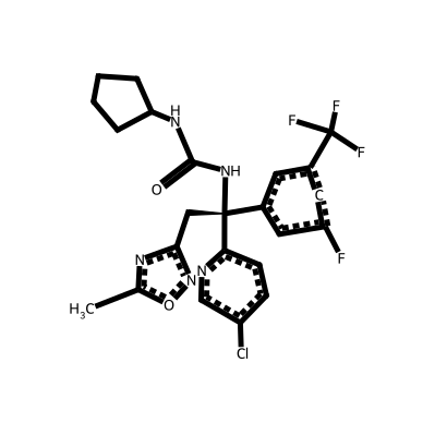 Cc1nc(C[C@@](NC(=O)NC2CCCC2)(c2cc(F)cc(C(F)(F)F)c2)c2ccc(Cl)cn2)no1